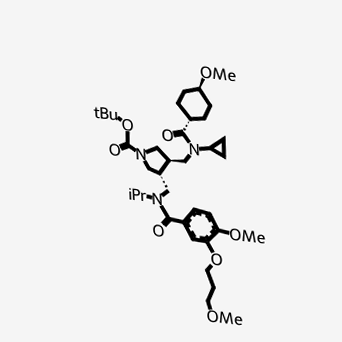 COCCCOc1cc(C(=O)N(C[C@@H]2CN(C(=O)OC(C)(C)C)C[C@H]2CN(C(=O)[C@H]2CC[C@H](OC)CC2)C2CC2)C(C)C)ccc1OC